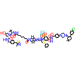 Cc1ncsc1-c1ccc([C@H](C)NC(=O)[C@@H]2C[C@@H](O)CN2C(=O)[C@@H](NC(=O)CCCCCCCC(=O)N2C[C@H]3CN(CC[C@H](CSc4ccccc4)Nc4ccc(S(=O)(=O)NC(=O)c5ccc(N6CCN(CC7=C(c8ccc(Cl)cc8)CCC(C)(C)C7)CC6)cc5)cc4S(=O)(=O)C(F)(F)F)C[C@H]3C2)C(C)(C)C)cc1